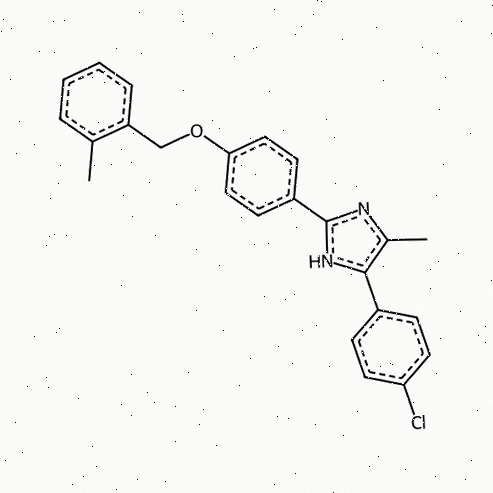 Cc1ccccc1COc1ccc(-c2nc(C)c(-c3ccc(Cl)cc3)[nH]2)cc1